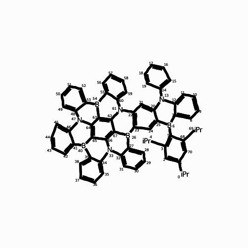 CC(C)c1cc(C(C)C)c(B2c3ccccc3N(c3ccccc3)c3cc4c(cc32)B2c3ccccc3N3c5ccccc5B5c6ccccc6N6c7ccccc7B7c8ccccc8N4c4c7c6c5c3c42)c(C(C)C)c1